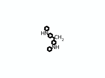 C=C(c1ccc(Nc2ccccc2)cc1)c1ccc(Nc2ccccc2)cc1